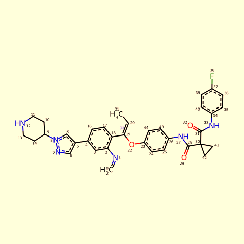 C=Nc1cc(-c2cnn(C3CCNCC3)c2)ccc1/C(=C\C)Oc1ccc(NC(=O)C2(C(=O)Nc3ccc(F)cc3)CC2)cc1